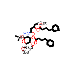 CCCCCCCCCCCC(CC(=O)N[C@H]1C(O[SiH](C)C)O[C@H](COC(C)(C)C)[C@@H](OS(=O)(=O)O)[C@@H]1OC(=O)CCCc1ccccc1)OC(=O)CCCc1ccccc1